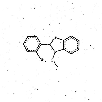 CON1c2ccccc2SC1c1ccccc1O